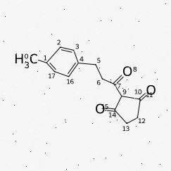 Cc1ccc(CCC(=O)C2C(=O)CCC2=O)cc1